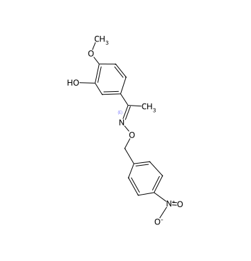 COc1ccc(/C(C)=N/OCc2ccc([N+](=O)[O-])cc2)cc1O